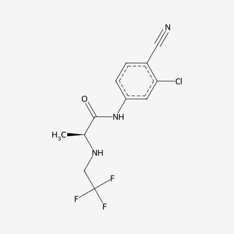 C[C@H](NCC(F)(F)F)C(=O)Nc1ccc(C#N)c(Cl)c1